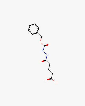 O=C(O)CCCC(=O)NNC(=O)OCc1ccccc1